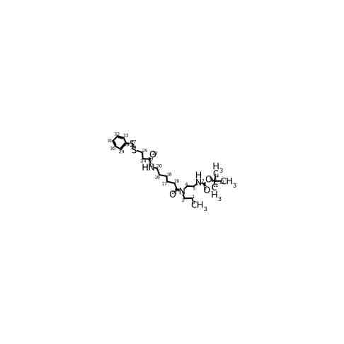 CCCN(CCNC(=O)OC(C)(C)C)C(=O)CCCCCNC(=O)CCSSc1ccccc1